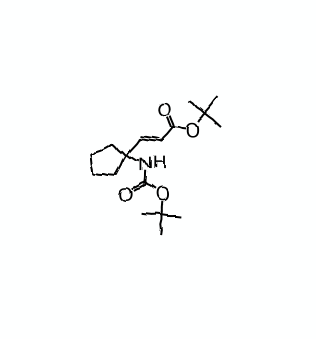 CC(C)(C)OC(=O)C=CC1(NC(=O)OC(C)(C)C)CCCC1